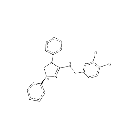 Clc1ccc(CNC2=N[C@@H](c3ccccc3)CN2c2ccccc2)cc1Cl